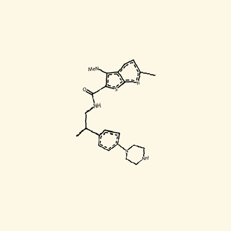 CNc1c(C(=O)NCC(C)c2ccc(N3CCNCC3)cc2)sc2nc(C)ccc12